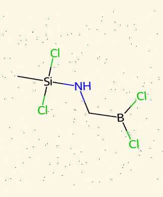 C[Si](Cl)(Cl)NCB(Cl)Cl